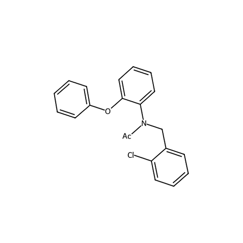 CC(=O)N(Cc1ccccc1Cl)c1ccccc1Oc1ccccc1